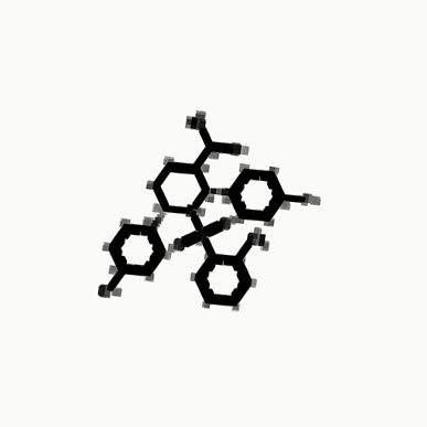 Cc1ccccc1S(=O)(=O)N1[C@@H](c2ccc(F)cc2)C(C(=O)O)=CC[C@H]1c1ccc(Cl)cc1